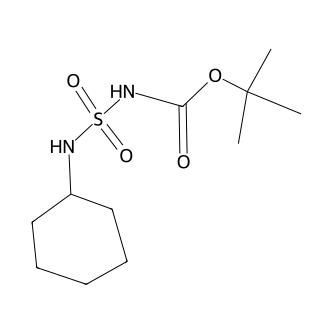 CC(C)(C)OC(=O)NS(=O)(=O)NC1CCCCC1